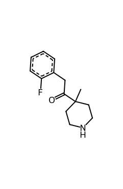 CC1(C(=O)Cc2ccccc2F)CCNCC1